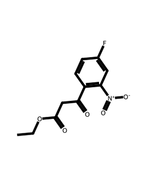 CCOC(=O)CC(=O)c1ccc(F)cc1[N+](=O)[O-]